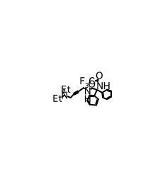 CCN(CC)CC#CCNC(=O)C(NC(=O)C(F)(F)F)(c1ccccc1)c1ccccc1